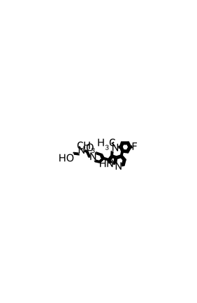 CN(CCO)C(=O)CN1CC=C(c2[nH]c3nccc4c3c2CN(C)c2ccc(F)cc2-4)CC1